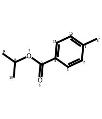 [CH2]c1ccc(C(=O)OC(C)C)cc1